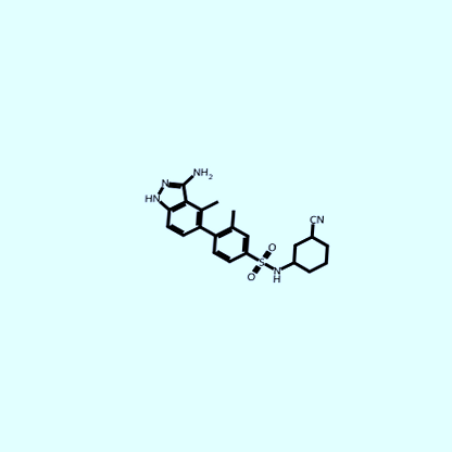 Cc1cc(S(=O)(=O)NC2CCCC(C#N)C2)ccc1-c1ccc2[nH]nc(N)c2c1C